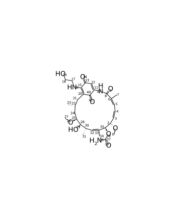 CO[C@H]1C=CC=C(C)C(=O)NC2=CC(=O)C(NCCO)=C(C[C@@H](C)C[C@H](OC)[C@H](O)[C@@H](C)C=C(C)[C@@H]1OC(N)=O)C2=O